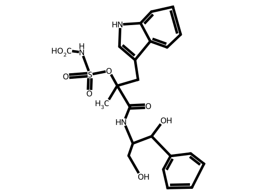 CC(Cc1c[nH]c2ccccc12)(OS(=O)(=O)NC(=O)O)C(=O)NC(CO)C(O)c1ccccc1